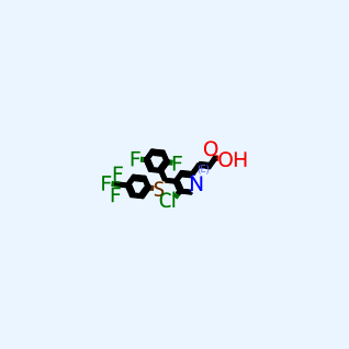 O=C(O)/C=C/c1cc(C(Sc2ccc(C(F)(F)F)cc2)c2cc(F)ccc2F)c(Cl)cn1